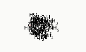 CC[C@H](C)[C@H](NC(=O)[C@@H]1C[C@@H](O)CN1C(=O)[C@@H](N)C(C)C)C(=O)N[C@H](C(=O)N[C@@H](Cc1ccc(O)cc1)C(=O)N[C@@H](CO)C(=O)N[C@@H](CC(N)=O)C(=O)N[C@@H](CCCNC(=N)N)C(=O)N[C@@H](CCN)C(=O)N[C@H](C(=O)N[C@H](CCN)C(=O)N[C@@H](CCCCN)C(=O)N[C@@H](CCN)C(=O)N[C@@H](CCN)C(=O)N[C@@H](CS)C(=O)N[C@@H](Cc1ccc(O)cc1)C(=O)O)[C@@H](C)O)C(C)(C)S